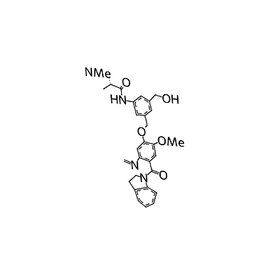 C=Nc1cc(OCc2cc(CO)cc(NC(=O)[C@H](C)NC)c2)c(OC)cc1C(=O)N1CCc2ccccc21